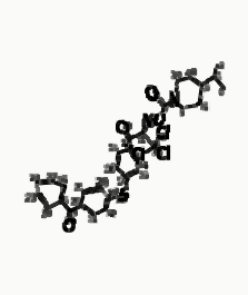 CC(C)C1CCN(C(=O)O/N=C(/C(=O)c2ccc(Sc3ccc(C(=O)c4ccccc4)cc3)cc2)C(Cl)(Cl)Cl)CC1